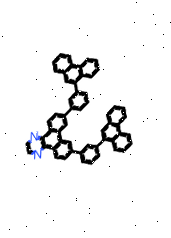 c1cc(-c2ccc3c(c2)c2cc(-c4cccc(-c5cc6ccccc6c6ccccc56)c4)ccc2c2nccnc32)cc(-c2cc3ccccc3c3ccccc23)c1